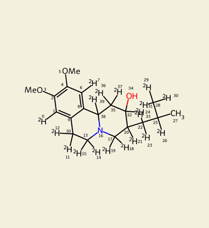 [2H]c1c(OC)c(OC)c([2H])c2c1C([2H])([2H])C([2H])([2H])N1C([2H])([2H])C([2H])(C([2H])([2H])C([2H])(C)C([2H])([2H])[2H])C([2H])(O)C([2H])([2H])C21[2H]